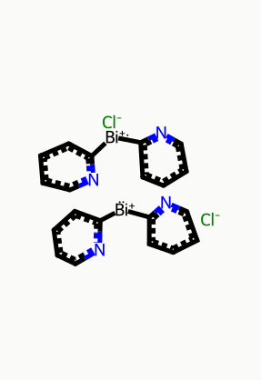 [Cl-].[Cl-].c1cc[c]([Bi+][c]2ccccn2)nc1.c1cc[c]([Bi+][c]2ccccn2)nc1